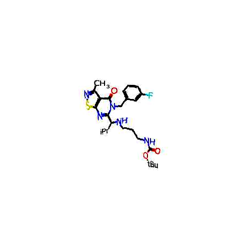 Cc1nsc2nc(C(NCCCNC(=O)OC(C)(C)C)C(C)C)n(Cc3cccc(F)c3)c(=O)c12